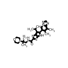 Cc1c(-c2[nH]c3sc(C(=O)NCC(C)(C)N4CCOCC4)nc3c2C(C)C)cn2ncnc2c1C